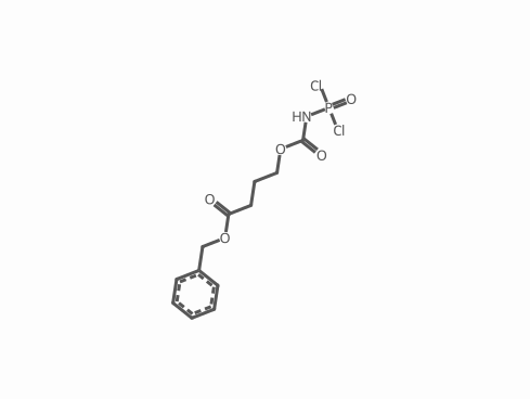 O=C(CCCOC(=O)NP(=O)(Cl)Cl)OCc1ccccc1